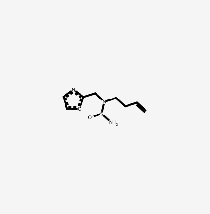 C=CCCN(Cc1ncco1)[S+](N)[O-]